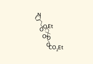 CCOC(=O)OCCOC(=O)C(C)(C)CC(C)(CC)OC(=O)CCc1cccnc1